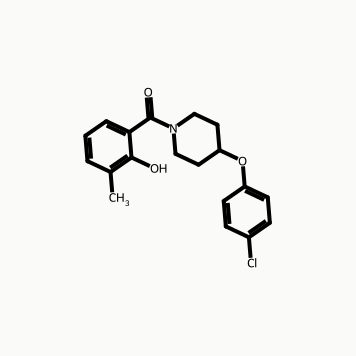 Cc1cccc(C(=O)N2CCC(Oc3ccc(Cl)cc3)CC2)c1O